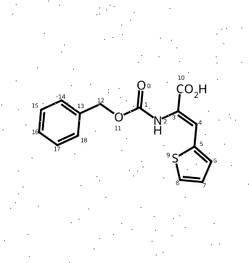 O=C(N/C(=C\c1cccs1)C(=O)O)OCc1ccccc1